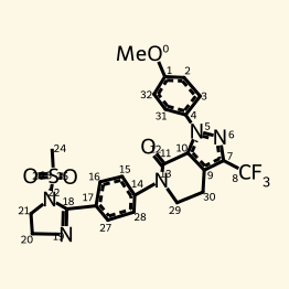 COc1ccc(-n2nc(C(F)(F)F)c3c2C(=O)N(c2ccc(C4=NCCN4S(C)(=O)=O)cc2)CC3)cc1